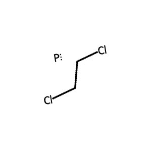 ClCCCl.[P]